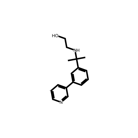 CC(C)(NCCO)c1cccc(-c2c[c]cnc2)c1